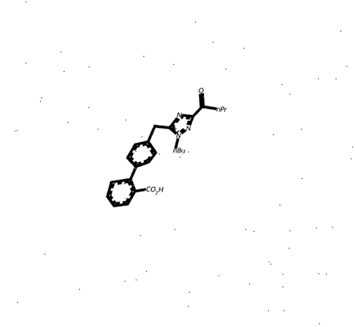 CCCCn1nc(C(=O)CCC)nc1Cc1ccc(-c2ccccc2C(=O)O)cc1